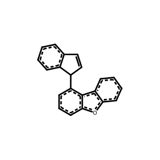 C1=CC(c2cccc3oc4ccccc4c23)c2ccccc21